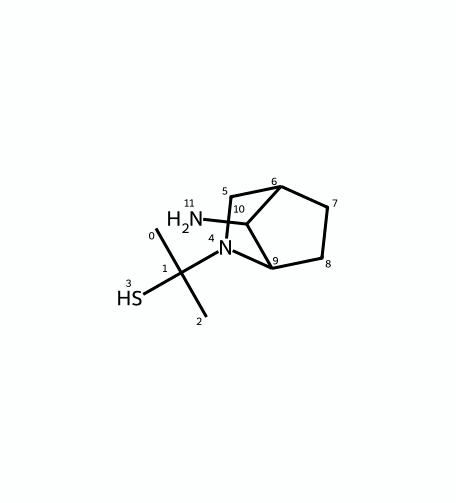 CC(C)(S)N1CC2CCC1C2N